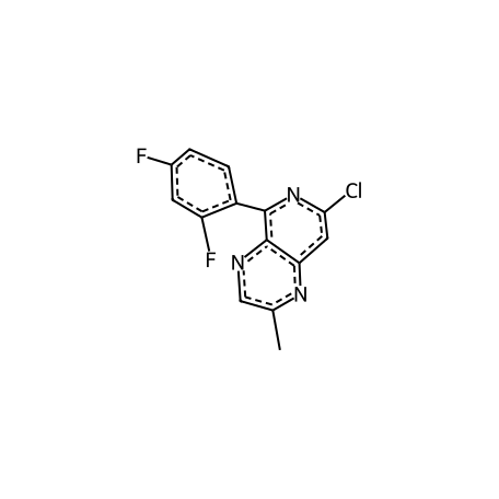 Cc1cnc2c(-c3ccc(F)cc3F)nc(Cl)cc2n1